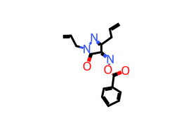 C=CCC1=NN(CC=C)C(=O)C1=NOC(=O)c1ccccc1